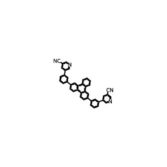 N#Cc1cncc(-c2cccc(-c3ccc4c5ccc(-c6cccc(-c7cncc(C#N)c7)c6)cc5c5ccccc5c4c3)c2)c1